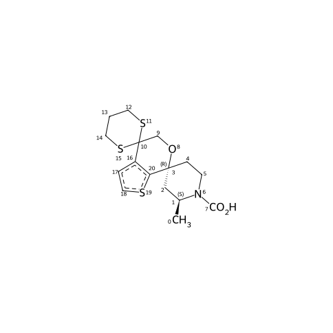 C[C@H]1C[C@@]2(CCN1C(=O)O)OCC1(SCCCS1)c1ccsc12